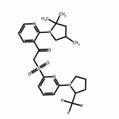 CC1CN(c2ncccc2C(=O)CS(=O)(=O)c2cccc(N3CCCC3C(F)(F)F)n2)C(C)(C)C1